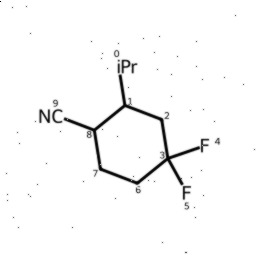 CC(C)C1CC(F)(F)CCC1C#N